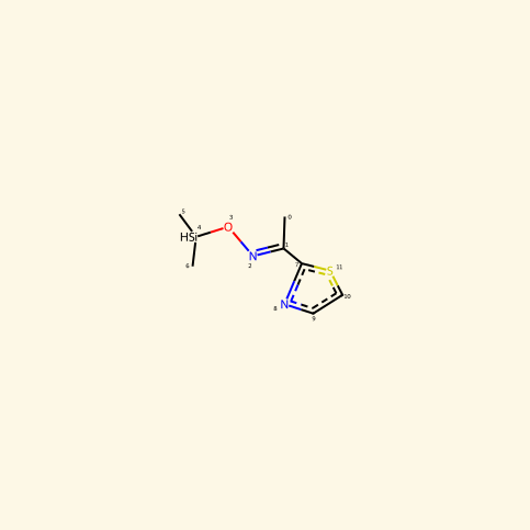 CC(=NO[SiH](C)C)c1nccs1